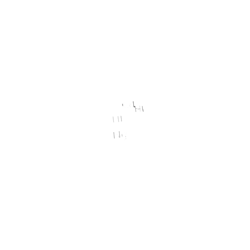 I.I.[Cd].[Hg]